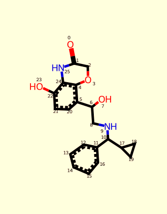 O=C1COc2c(C(O)CNC(c3ccccc3)C3CC3)ccc(O)c2N1